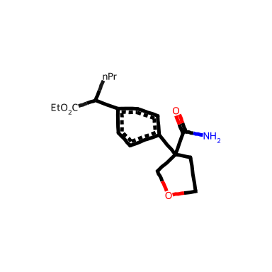 CCCC(C(=O)OCC)c1ccc(C2(C(N)=O)CCOC2)cc1